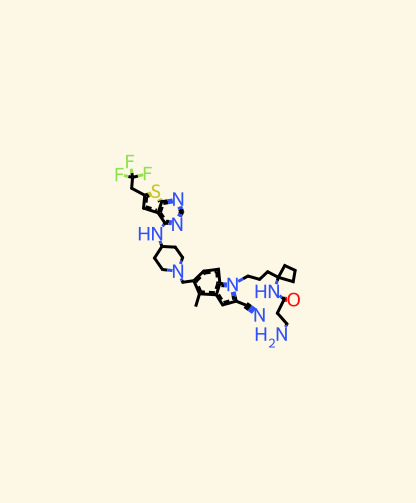 Cc1c(CN2CCC(Nc3ncnc4sc(CC(F)(F)F)cc34)CC2)ccc2c1cc(C#N)n2CCCC1(NC(=O)CCN)CCC1